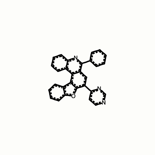 c1ccc(-c2nc3ccccc3c3c2cc(-c2ccncn2)c2oc4ccccc4c23)cc1